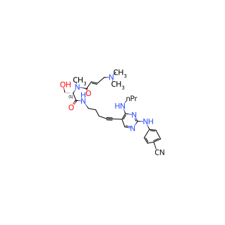 CCCNc1nc(Nc2ccc(C#N)cc2)ncc1C#CCCCNC(=O)[C@H](CO)N(C)C(=O)C=CCN(C)C